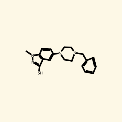 Cn1nc(S)c2cc(N3CCN(Cc4ccccc4)CC3)ccc21